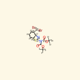 CC(C)(C)OC(=O)N(C(=O)OC(C)(C)C)c1nc2c(C(Br)Br)cccc2s1